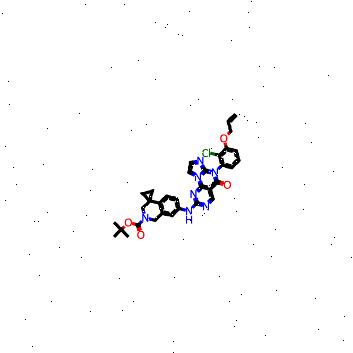 C=CCOc1cccc(-n2c(=O)c3cnc(Nc4ccc5c(c4)CN(C(=O)OC(C)(C)C)CC54CC4)nc3n3ccnc23)c1Cl